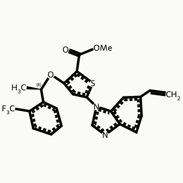 C=Cc1ccc2ncn(-c3cc(O[C@H](C)c4ccccc4C(F)(F)F)c(C(=O)OC)s3)c2c1